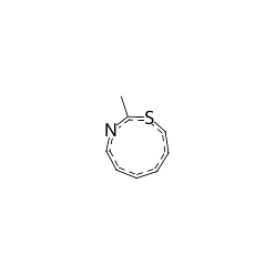 Cc1nccccccs1